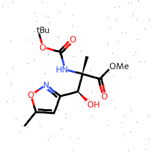 COC(=O)[C@@](C)(NC(=O)OC(C)(C)C)[C@@H](O)c1cc(C)on1